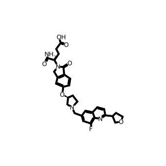 NC(=O)C(CCC(=O)O)N1Cc2cc(O[C@H]3CCN(Cc4cc(F)c5nc(C6CCOC6)ccc5c4)C3)ccc2C1=O